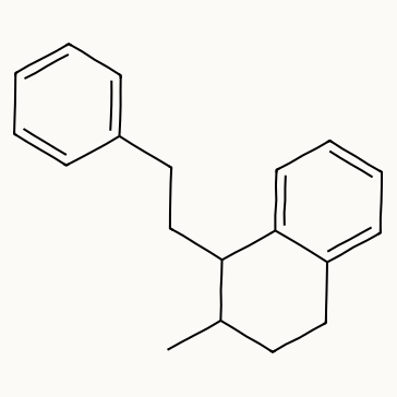 CC1CCc2ccccc2C1CCc1ccccc1